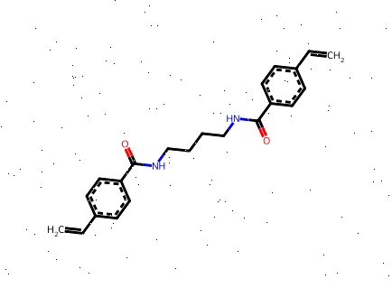 C=Cc1ccc(C(=O)NCCCCNC(=O)c2ccc(C=C)cc2)cc1